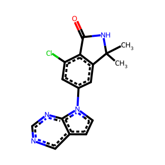 CC1(C)NC(=O)c2c(Cl)cc(-n3ccc4cncnc43)cc21